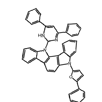 C1=C(c2ccccc2)NC(n2c3ccccc3c3ccc4c(c5ccccc5n4-c4ccc(-c5ccccc5)o4)c32)N=C1c1ccccc1